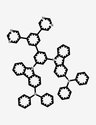 c1ccc(N(c2ccccc2)c2ccc3c(c2)c2ccccc2n3-c2cc(-c3cc(-c4cncnc4)cc(-c4cncnc4)c3)cc(-n3c4ccccc4c4cc(N(c5ccccc5)c5ccccc5)ccc43)c2)cc1